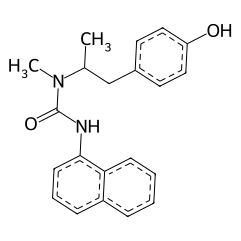 CC(Cc1ccc(O)cc1)N(C)C(=O)Nc1cccc2ccccc12